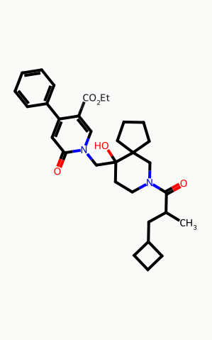 CCOC(=O)c1cn(CC2(O)CCN(C(=O)C(C)CC3CCC3)CC23CCCC3)c(=O)cc1-c1ccccc1